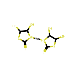 S=C1SC(S)C(S)[SH]1[Zn][SH]1C(=S)SC(S)C1S